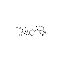 CC(C)(CC1CCN(c2ncnc3[nH]ncc23)CC1)OC(N)=O